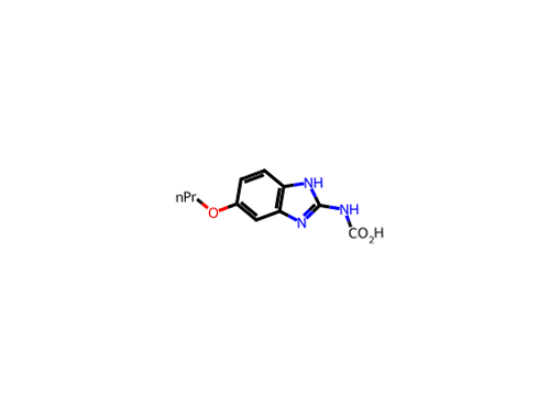 CCCOc1ccc2[nH]c(NC(=O)O)nc2c1